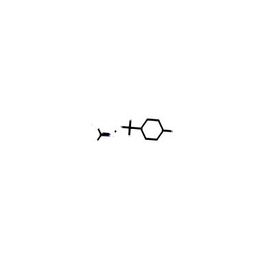 CC(=O)/C(=N\OC(C)(C)C1CCC(C)CC1)C(=O)O